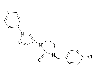 O=C1N(Cc2ccc(Cl)cc2)CCN1c1cnn(-c2ccncc2)c1